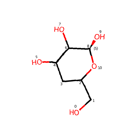 OCC1CC(O)C(O)[C@@H](O)O1